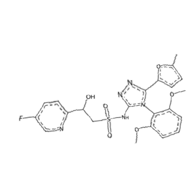 COc1cccc(OC)c1-n1c(NS(=O)(=O)CC(O)c2ccc(F)cn2)nnc1-c1ccc(C)o1